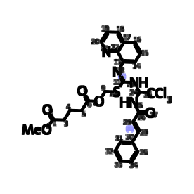 COC(=O)CCCC(=O)OCS/C(=N/c1cccc2cccnc12)NC(NC(=O)/C=C/c1ccccc1)C(Cl)(Cl)Cl